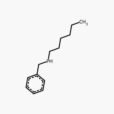 CCCCCCPCc1ccccc1